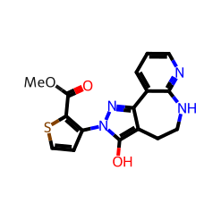 COC(=O)c1sccc1-n1nc2c(c1O)CCNc1ncccc1-2